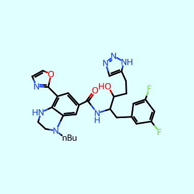 CCCCN1CCNc2c(-c3ncco3)cc(C(=O)NC(Cc3cc(F)cc(F)c3)C(O)CCc3cnn[nH]3)cc21